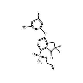 C=CCN=S(=O)(c1ccc(Oc2cc(F)cc(C#N)c2)c2c1C(=O)C(F)(F)C2)C(F)(F)F